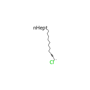 CCCCCCCCCCCCCCCC#C[CH]Cl